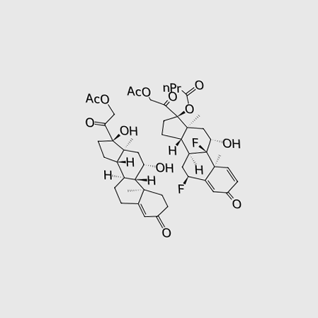 CC(=O)OCC(=O)[C@@]1(O)CC[C@H]2[C@@H]3CCC4=CC(=O)CC[C@]4(C)[C@H]3[C@@H](O)C[C@@]21C.CCCC(=O)O[C@]1(C(=O)COC(C)=O)CC[C@H]2[C@@H]3C[C@H](F)C4=CC(=O)C=C[C@]4(C)[C@@]3(F)[C@@H](O)C[C@@]21C